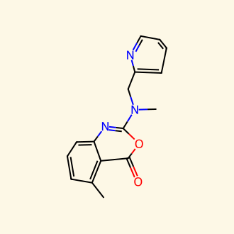 Cc1cccc2nc(N(C)Cc3ccccn3)oc(=O)c12